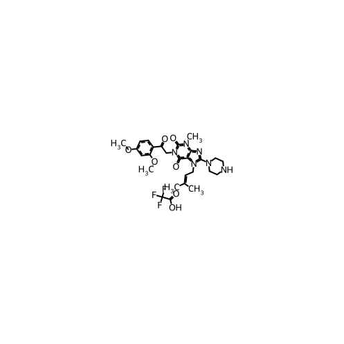 COc1ccc(C(=O)Cn2c(=O)c3c(nc(N4CCNCC4)n3CC=C(C)C)n(C)c2=O)c(OC)c1.O=C(O)C(F)(F)F